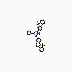 CC1(C)c2ccccc2-c2ccc(-c3cc(-c4ccccc4)nc(-c4ccc5c6c(ccc5c4)-c4ccccc4C6(C)C)n3)cc21